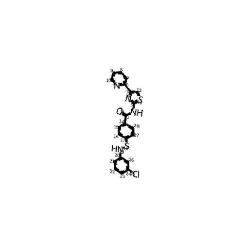 O=C(Nc1nc(-c2ccccn2)cs1)c1ccc(SNc2cccc(Cl)c2)cc1